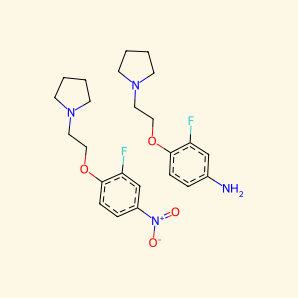 Nc1ccc(OCCN2CCCC2)c(F)c1.O=[N+]([O-])c1ccc(OCCN2CCCC2)c(F)c1